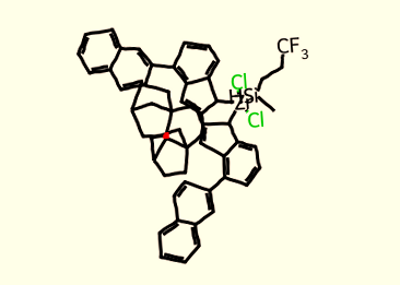 C[SiH](CCC(F)(F)F)[Zr]([Cl])([Cl])([CH]1C(CC23CCC(CC2)C3)=Cc2c(-c3ccc4ccccc4c3)cccc21)[CH]1C(CC23CCC(CC2)C3)=Cc2c(-c3ccc4ccccc4c3)cccc21